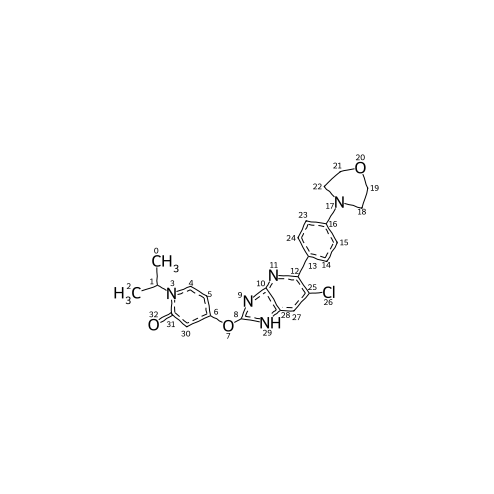 CC(C)n1ccc(Oc2nc3nc(-c4ccc(N5CCOCC5)cc4)c(Cl)cc3[nH]2)cc1=O